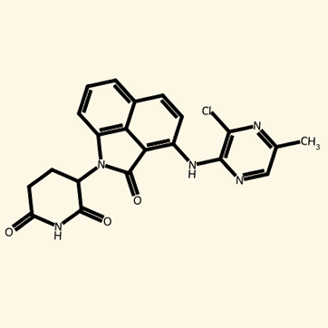 Cc1cnc(Nc2ccc3cccc4c3c2C(=O)N4C2CCC(=O)NC2=O)c(Cl)n1